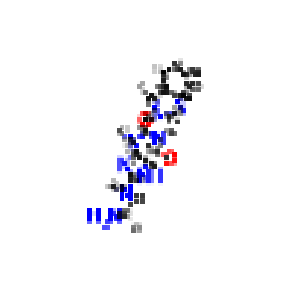 Cc1nc(Cn2c(=O)c3[nH]c(N(C)C[C@H](C)N)nc3n(C)c2=O)nc2ccccc12